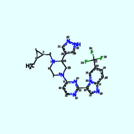 CC1CC1CN1CCN(c2ccnc(-c3cnc4ccc(C(F)(F)F)cn34)n2)CC1c1cn[nH]c1